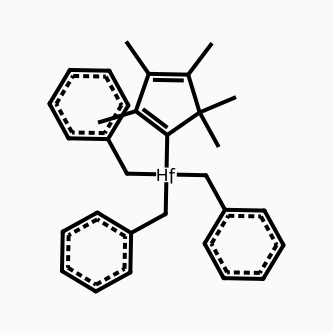 CC1=C(C)C(C)(C)[C]([Hf]([CH2]c2ccccc2)([CH2]c2ccccc2)[CH2]c2ccccc2)=C1C